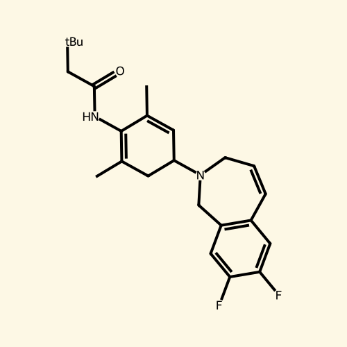 CC1=CC(N2CC=Cc3cc(F)c(F)cc3C2)CC(C)=C1NC(=O)CC(C)(C)C